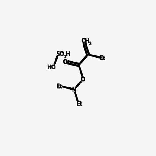 C=C(CC)C(=O)ON(CC)CC.O=S(=O)(O)O